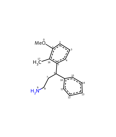 COc1cccc(C(CCN)c2ccccc2)c1C